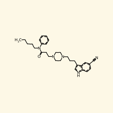 CCCCCN(C(=O)CCN1CCN(CCCc2c[nH]c3ccc(C#N)cc23)CC1)c1ccccc1